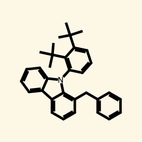 CC(C)(C)c1cccc(-n2c3ccccc3c3cccc(Cc4ccccc4)c32)c1C(C)(C)C